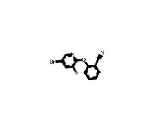 N#Cc1ccccc1Oc1ncc(Br)cc1F